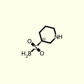 BS(=O)(=O)[C@H]1CCCNC1